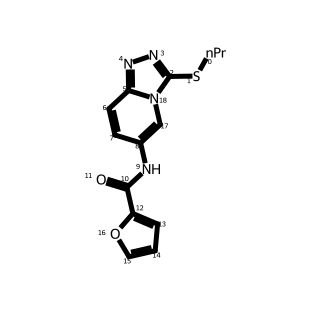 CCCSc1nnc2ccc(NC(=O)c3ccco3)cn12